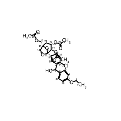 CCOc1ccc(C(O)c2cc([C@@]34OC[C@@](COC(C)=O)([CH][C@H](OC(C)=O)[C@H]3OC(C)=O)O4)ccc2Cl)cc1